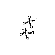 [Cl][Pt-2]([Cl])([Cl])[Cl].[Cl][Pt-2]([Cl])([Cl])[Cl].[Pt+4]